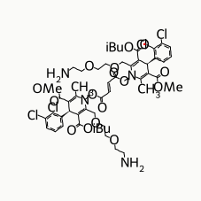 COC(=O)C1=C(C)N(OC(=O)/C=C/C(=O)ON2C(C)=C(C(=O)OC)[C@H](c3cccc(Cl)c3Cl)C(C(=O)OCC(C)C)=C2COCCOCCN)C(COCCOCCN)=C(C(=O)OCC(C)C)[C@H]1c1cccc(Cl)c1Cl